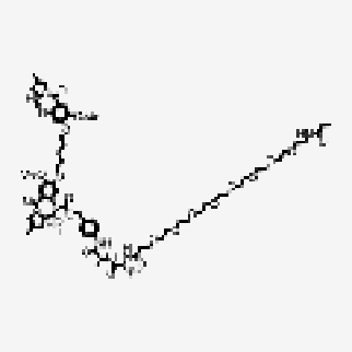 COc1cc2c(cc1OCCCCCOc1cc3c(cc1OC)C(=O)N1C=C(C)C[C@H]1[C@H](O)N3C(=O)OCc1ccc(NC(=O)[C@H](C)NC(=O)[C@@H](NC(=O)CCOCCOCCOCCOCCOCCOCCOCCOCCNC(=O)CI)C(C)C)cc1)N=C[C@@H]1CC(C)=CN1C2=O